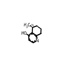 C[C@H]1CCCc2nccc(O)c21